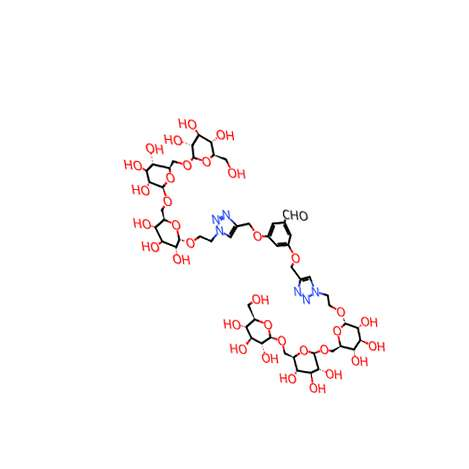 O=Cc1cc(OCc2cn(CCO[C@H]3O[C@H](CO[C@@H]4O[C@H](CO[C@@H]5O[C@H](CO)[C@@H](O)[C@H](O)[C@H]5O)[C@@H](O)[C@H](O)[C@H]4O)[C@@H](O)[C@H](O)[C@H]3O)nn2)cc(OCc2cn(CCO[C@H]3O[C@H](CO[C@@H]4O[C@H](CO[C@@H]5O[C@H](CO)[C@@H](O)[C@H](O)[C@H]5O)[C@@H](O)[C@H](O)[C@H]4O)[C@@H](O)[C@H](O)[C@H]3O)nn2)c1